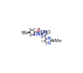 CNc1ncc(C)c(C(/C=C(\C=O)NC(=O)c2ccc(C(C)(C)C)cc2)=C/N)n1